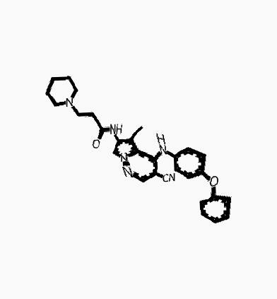 Cc1c(NC(=O)CCN2CCCCC2)cn2ncc(C#N)c(Nc3ccc(Oc4ccccc4)cc3)c12